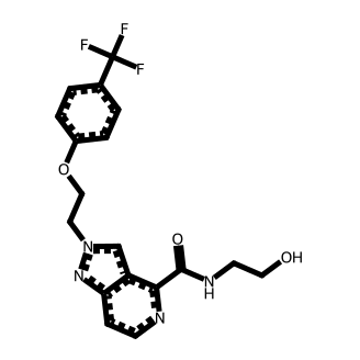 O=C(NCCO)c1nccc2nn(CCOc3ccc(C(F)(F)F)cc3)cc12